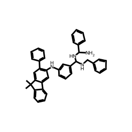 CC1(C)c2ccccc2-c2cc(Nc3cccc(C(NCc4ccccc4)NC(N)c4ccccc4)c3)c(-c3ccccc3)cc21